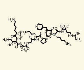 C[C@H](NC(=O)[C@@H](NC(=O)[C@@H](N)CCCCN)[C@@H](O)CN)C(=O)NCC(=O)N[C@H](CCCN)C(=O)N1CCC[C@H]1C(=O)NC(Cc1ccncc1)C(=O)N[C@@H](CCCCN)C(=O)N/C(=C\CCNC(=N)N)C(=O)O